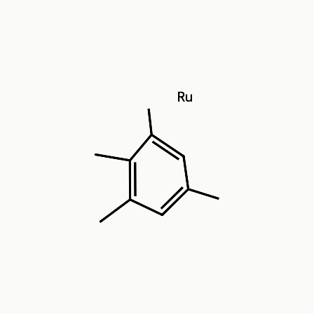 Cc1cc(C)c(C)c(C)c1.[Ru]